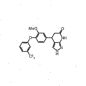 COc1cc(C2CC(=O)Nc3n[nH]cc32)ccc1Oc1cccc(C(F)(F)F)c1